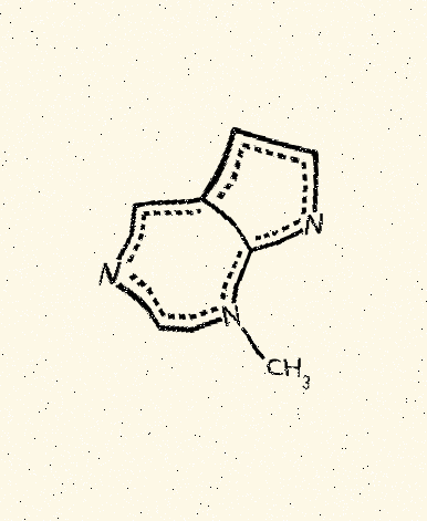 Cn1cncc2ccnc1-2